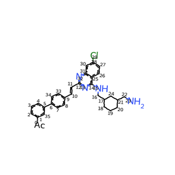 CC(=O)c1cccc(-c2ccc(/C=C/c3nc(NCC4CCCC(CN)C4)c4ccc(Cl)cc4n3)cc2)c1